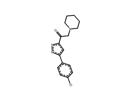 O=C(CN1CCCCC1)c1cc(-c2ccc(Cl)cc2)ns1